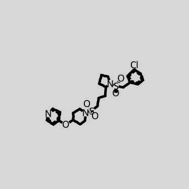 O=S(=O)(CCCC1CCCN1S(=O)(=O)Cc1cccc(Cl)c1)N1CCC(Oc2ccncc2)CC1